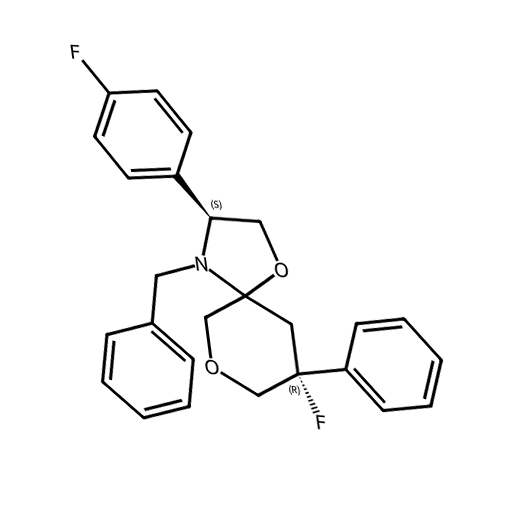 Fc1ccc([C@H]2COC3(COC[C@](F)(c4ccccc4)C3)N2Cc2ccccc2)cc1